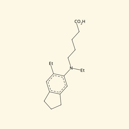 CCc1cc2c(cc1N(CC)CCCCC(=O)O)CCC2